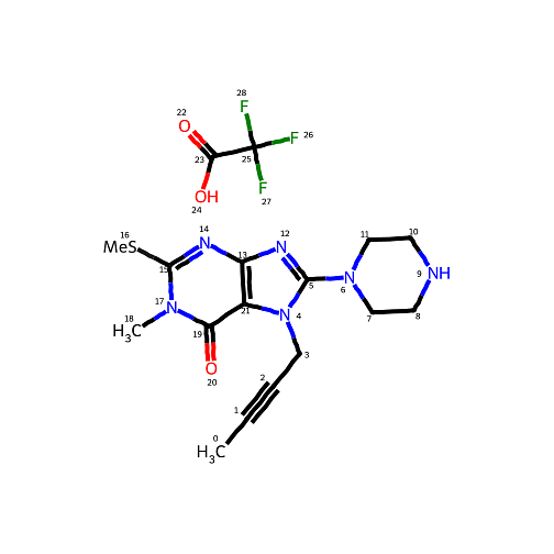 CC#CCn1c(N2CCNCC2)nc2nc(SC)n(C)c(=O)c21.O=C(O)C(F)(F)F